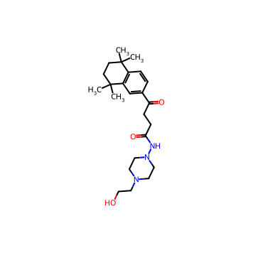 CC1(C)CCC(C)(C)c2cc(C(=O)CCC(=O)NN3CCN(CCO)CC3)ccc21